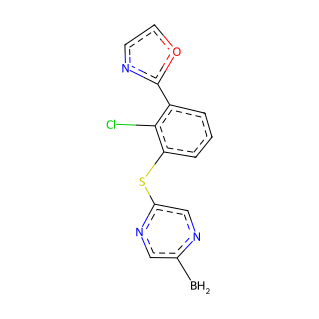 Bc1cnc(Sc2cccc(-c3ncco3)c2Cl)cn1